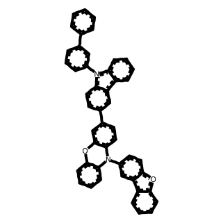 c1ccc(-c2cccc(-n3c4ccccc4c4cc(-c5ccc6c(c5)Oc5ccccc5N6c5ccc6oc7ccccc7c6c5)ccc43)c2)cc1